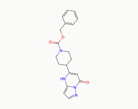 O=C(OCc1ccccc1)N1CCC(c2cc(=O)n3nccc3[nH]2)CC1